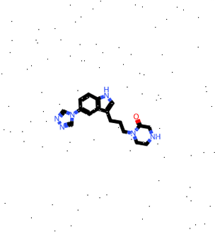 O=C1CNCCN1CCCc1c[nH]c2ccc(-n3cnnc3)cc12